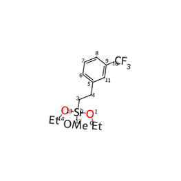 CCO[Si](CCc1cccc(C(F)(F)F)c1)(OC)OCC